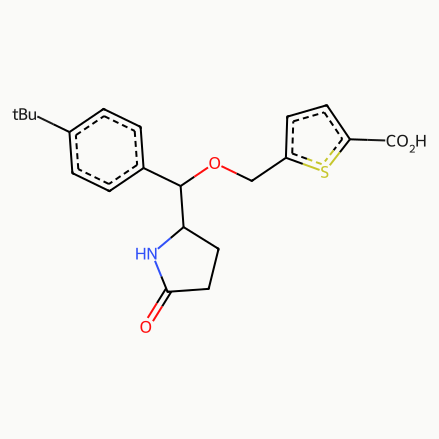 CC(C)(C)c1ccc(C(OCc2ccc(C(=O)O)s2)C2CCC(=O)N2)cc1